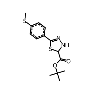 CSc1ccc(C2=NNC(C(=O)OC(C)(C)C)S2)cc1